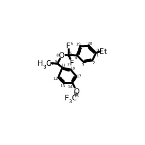 CCc1ccc(C(F)(F)OC(C)c2ccc(OC(F)(F)F)cc2)cc1